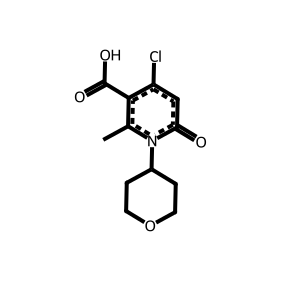 Cc1c(C(=O)O)c(Cl)cc(=O)n1C1CCOCC1